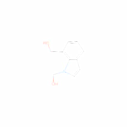 OCc1cccc2ccn(CO)c12